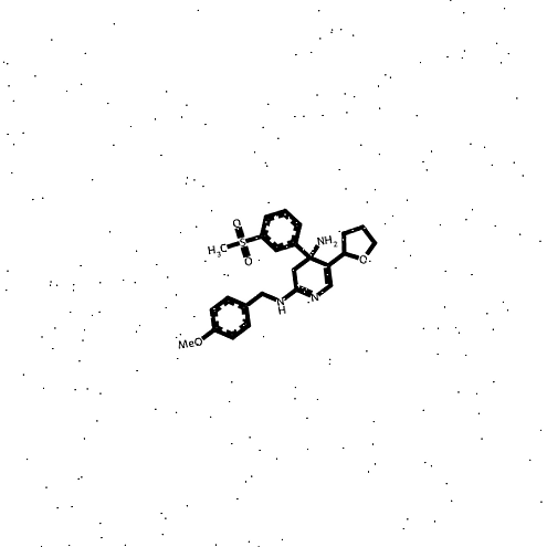 COc1ccc(CNC2=NC=C(C3CCCO3)C(N)(c3cccc(S(C)(=O)=O)c3)C2)cc1